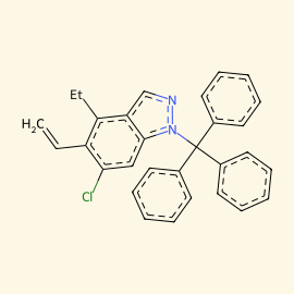 C=Cc1c(Cl)cc2c(cnn2C(c2ccccc2)(c2ccccc2)c2ccccc2)c1CC